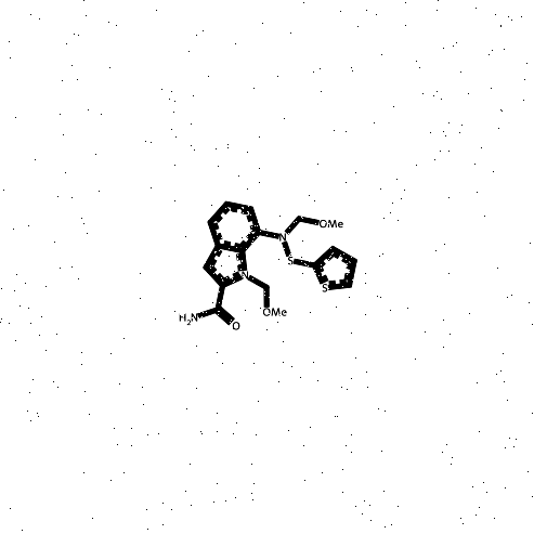 COCN(Sc1cccs1)c1cccc2cc(C(N)=O)n(COC)c12